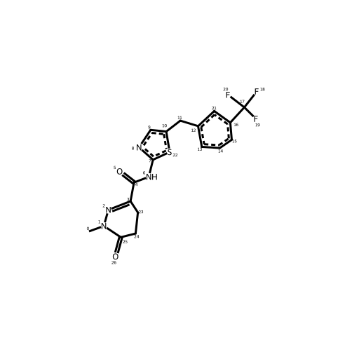 CN1N=C(C(=O)Nc2ncc(Cc3cccc(C(F)(F)F)c3)s2)CCC1=O